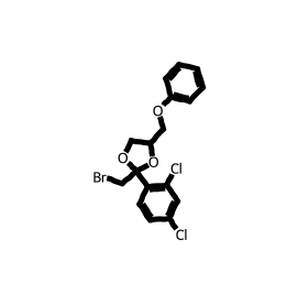 Clc1ccc(C2(CBr)OCC(COc3ccccc3)O2)c(Cl)c1